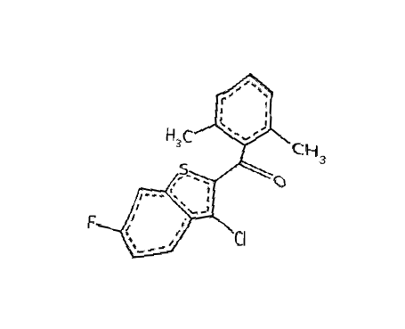 Cc1cccc(C)c1C(=O)c1sc2cc(F)ccc2c1Cl